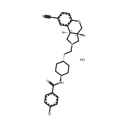 Cl.N#Cc1ccc2c(c1)[C@@H]1CN(CC[C@H]3CC[C@H](NC(=O)c4ccc(Cl)cc4)CC3)C[C@H]1CO2